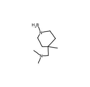 BN1CCC(C)(CN(C)C)CC1